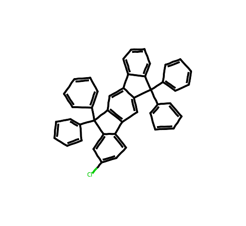 Clc1ccc2c(c1)C(c1ccccc1)(c1ccccc1)c1cc3c(cc1-2)C(c1ccccc1)(c1ccccc1)c1ccccc1-3